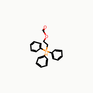 O=[C]OCC[PH](c1ccccc1)(c1ccccc1)c1ccccc1